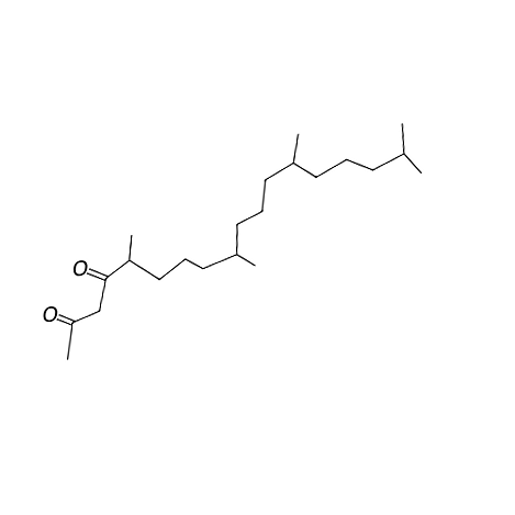 CC(=O)CC(=O)C(C)CCCC(C)CCCC(C)CCCC(C)C